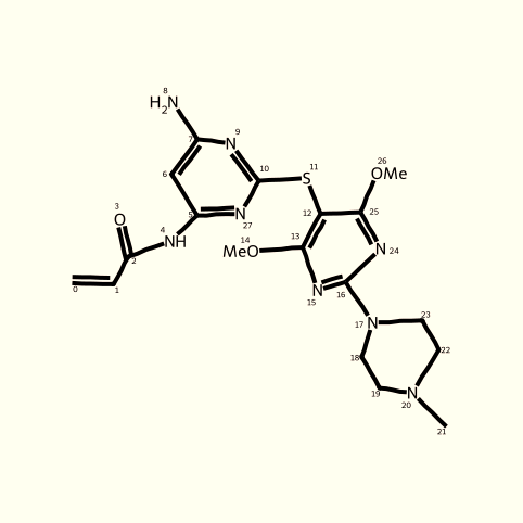 C=CC(=O)Nc1cc(N)nc(Sc2c(OC)nc(N3CCN(C)CC3)nc2OC)n1